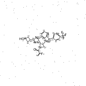 C=C(F)C(=O)N1CC(n2nc(-c3ccc(C(F)(F)F)nc3)c3nccc(-c4nc(C5CC(O)C5)no4)c32)C1